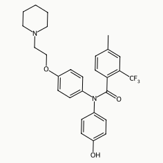 Cc1ccc(C(=O)N(c2ccc(O)cc2)c2ccc(OCCN3CCCCC3)cc2)c(C(F)(F)F)c1